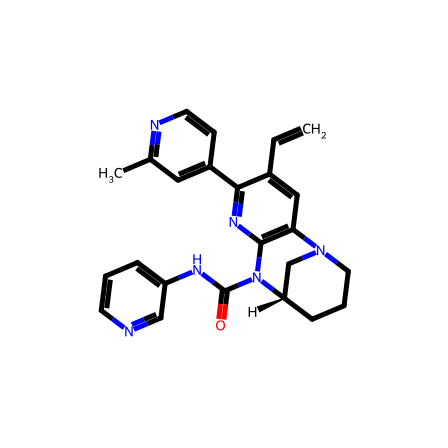 C=Cc1cc2c(nc1-c1ccnc(C)c1)N(C(=O)Nc1cccnc1)[C@H]1CCCN2C1